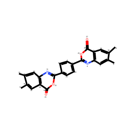 Cc1cc2nc(-c3ccc(-c4nc5cc(C)c(C)cc5c(=O)o4)cc3)oc(=O)c2cc1C